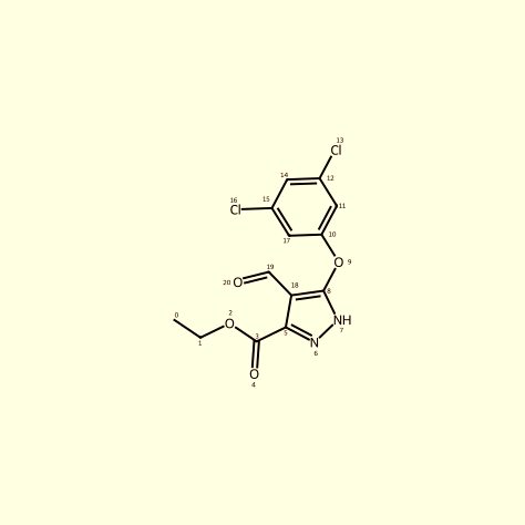 CCOC(=O)c1n[nH]c(Oc2cc(Cl)cc(Cl)c2)c1C=O